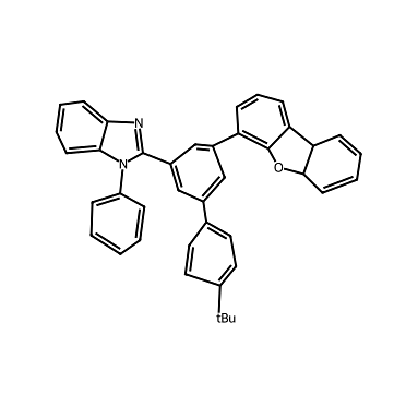 CC(C)(C)c1ccc(-c2cc(-c3cccc4c3OC3C=CC=CC43)cc(-c3nc4ccccc4n3-c3ccccc3)c2)cc1